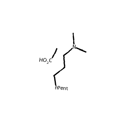 CC(=O)O.CCCCCCCCN(C)C